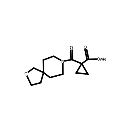 COC(=O)C1(C(=O)N2CCC3(CCOC3)CC2)CC1